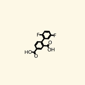 O=C(O)c1ccc(-c2cc(F)ccc2F)c(C(=O)O)c1